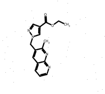 CCOC(=O)c1cnn(Cc2cc3cccnc3nc2C)c1